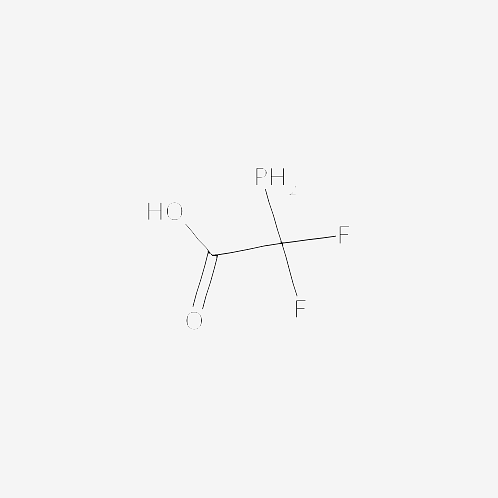 O=C(O)C(F)(F)P